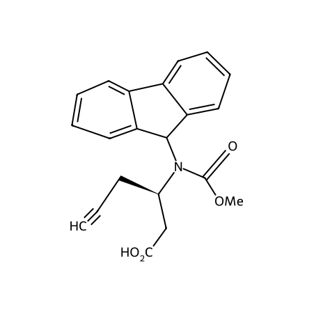 C#CC[C@H](CC(=O)O)N(C(=O)OC)C1c2ccccc2-c2ccccc21